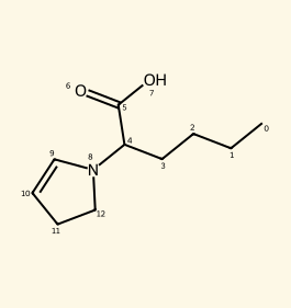 CCCCC(C(=O)O)N1C=CCC1